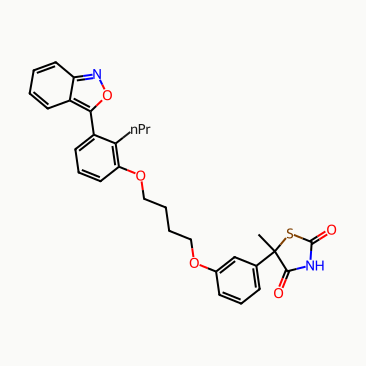 CCCc1c(OCCCCOc2cccc(C3(C)SC(=O)NC3=O)c2)cccc1-c1onc2ccccc12